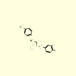 O=[N+]([O-])c1ccc(OP(=O)(O)CNS(=O)(=O)c2ccc(Cl)c(Cl)c2)cc1.[Na]